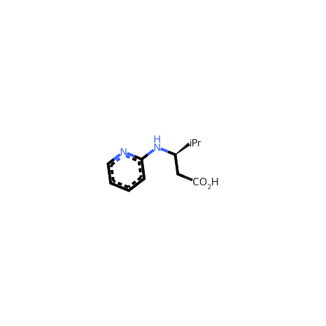 CC(C)[C@@H](CC(=O)O)Nc1ccccn1